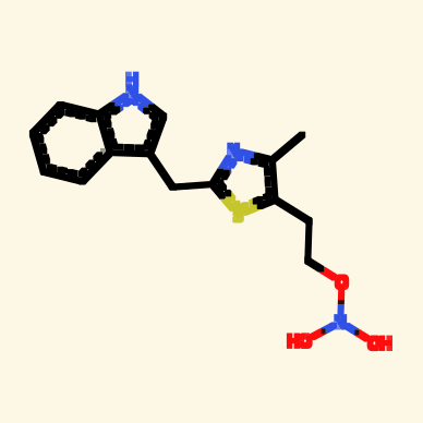 Cc1nc(Cc2c[nH]c3ccccc23)sc1CCON(O)O